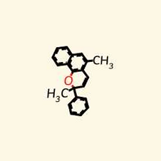 Cc1cc2ccccc2c2c1C=CC(C)(c1ccccc1)O2